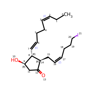 CC/C=C\CC/C=C/[C@H]1[C@H](O)CC(=O)[C@@H]1C/C=C\CCCI